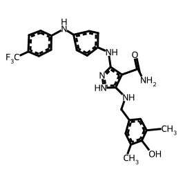 Cc1cc(CNc2[nH]nc(Nc3ccc(Nc4ccc(C(F)(F)F)cc4)cc3)c2C(N)=O)cc(C)c1O